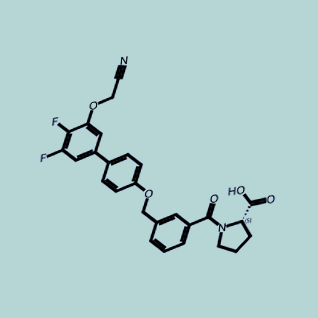 N#CCOc1cc(-c2ccc(OCc3cccc(C(=O)N4CCC[C@H]4C(=O)O)c3)cc2)cc(F)c1F